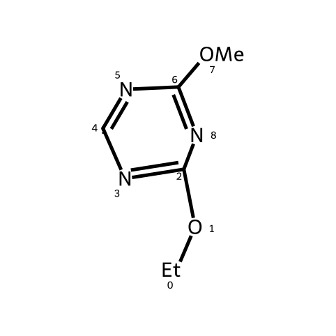 CCOc1n[c]nc(OC)n1